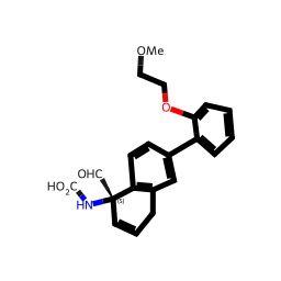 COCCOc1ccccc1-c1ccc2c(c1)CC=C[C@]2(C=O)NC(=O)O